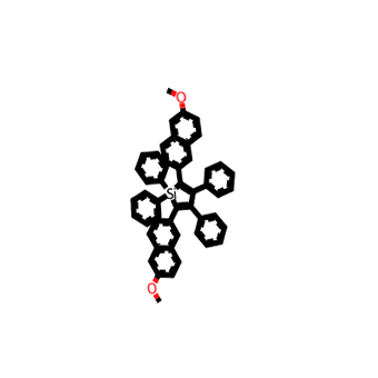 COc1ccc2cc(C3=C(c4ccccc4)C(c4ccccc4)=C(c4ccc5cc(OC)ccc5c4)[Si]3(c3ccccc3)c3ccccc3)ccc2c1